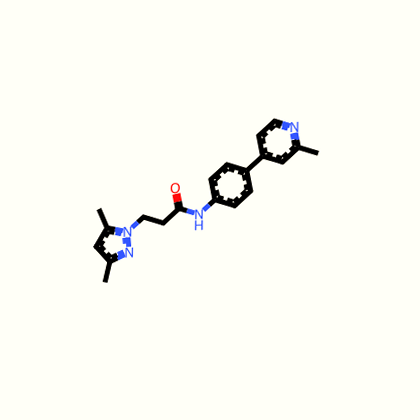 Cc1cc(-c2ccc(NC(=O)CCn3nc(C)cc3C)cc2)ccn1